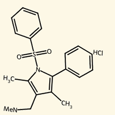 CNCc1c(C)c(-c2ccccc2)n(S(=O)(=O)c2ccccc2)c1C.Cl